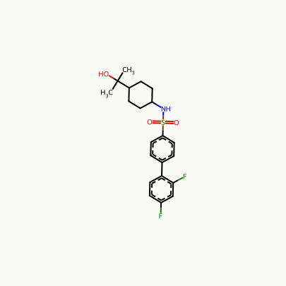 CC(C)(O)C1CCC(NS(=O)(=O)c2ccc(-c3ccc(F)cc3F)cc2)CC1